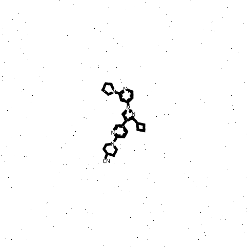 N#CC1CCN(c2ccc(-c3cn(-c4ccnc(N5CCCC5)c4)nc3C3CCC3)cn2)CC1